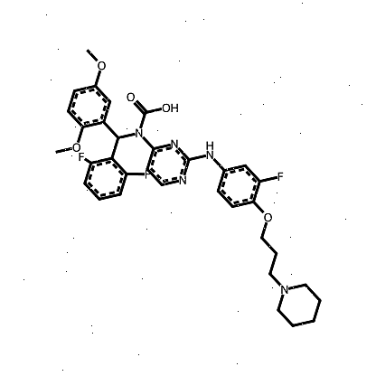 COc1ccc(OC)c(C(c2c(F)cccc2F)N(C(=O)O)c2ccnc(Nc3ccc(OCCCN4CCCCC4)c(F)c3)n2)c1